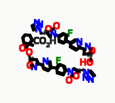 CC1(C(=O)OC[C@@H]2CC(c3ccc(-c4ccc(N5C[C@H](Cn6ccnn6)OC5=O)cc4F)cn3)=NO2)CCCCC1C(=O)O.O=C1O[C@@H](Cn2ccnn2)CN1c1ccc(-c2ccc(C3=NO[C@H](CO)C3)nc2)c(F)c1